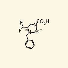 C[C@@H]1CN(Cc2ccccc2)[C@@H](C(F)F)CN1C(=O)O